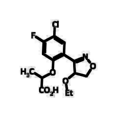 CCOC1CON=C1c1cc(Cl)c(F)cc1OC(C)C(=O)O